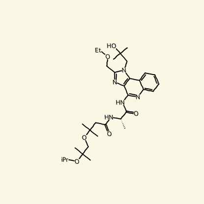 CCOCc1nc2c(NC(=O)[C@H](C)NC(=O)CC(C)(C)OCC(C)(C)OC(C)C)nc3ccccc3c2n1CC(C)(C)O